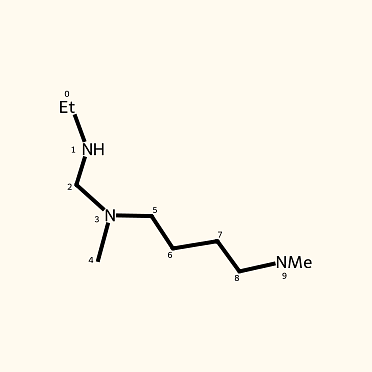 CCNCN(C)CCCCNC